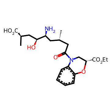 CCOC(=O)[C@H]1CN(C(=O)C[C@@H](C)C[C@H](N)[C@@H](O)C[C@@H](C)C(=O)O)c2ccccc2O1